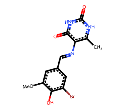 COc1cc(/C=N/c2c(C)[nH]c(=O)[nH]c2=O)cc(Br)c1O